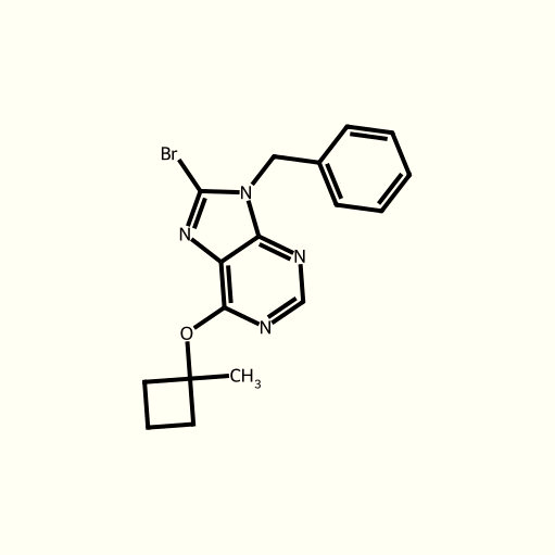 CC1(Oc2ncnc3c2nc(Br)n3Cc2ccccc2)CCC1